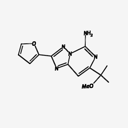 COC(C)(C)c1cc2nc(-c3ccco3)nn2c(N)n1